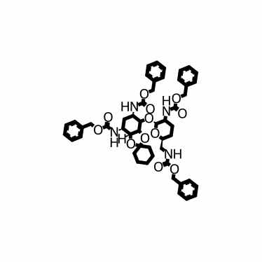 O=C(NC[C@@H]1CCC(NC(=O)OCc2ccccc2)[C@@H](OC2C3OC4(CCCCC4)O[C@H]3[C@H](NC(=O)OCc3ccccc3)C[C@@H]2NC(=O)OCc2ccccc2)O1)OCc1ccccc1